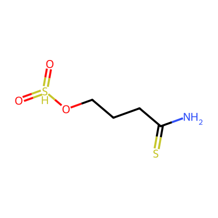 NC(=S)CCCO[SH](=O)=O